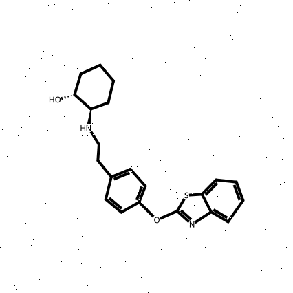 O[C@@H]1CCCC[C@H]1NCCc1ccc(Oc2nc3ccccc3s2)cc1